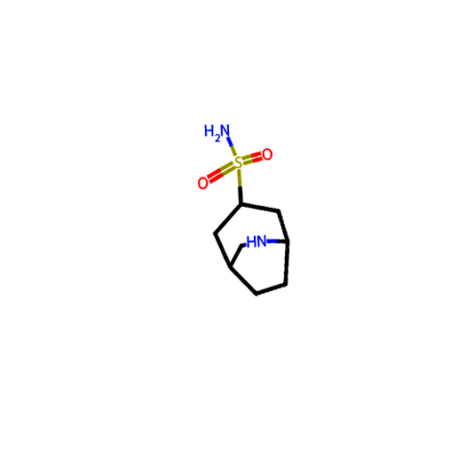 NS(=O)(=O)C1CC2CCC(C1)NC2